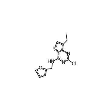 CCc1csc2c(NCc3ccco3)nc(Cl)nc12